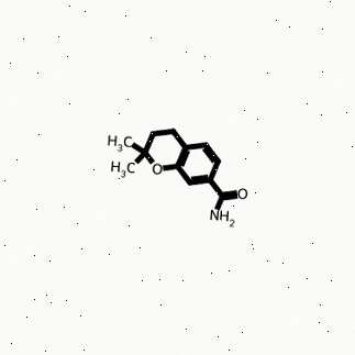 CC1(C)CCc2ccc(C(N)=O)cc2O1